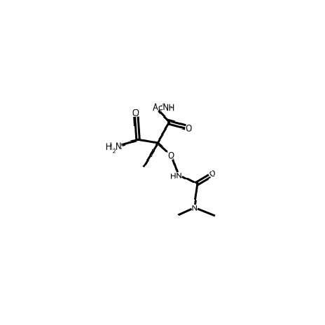 CC(=O)NC(=O)C(C)(ONC(=O)N(C)C)C(N)=O